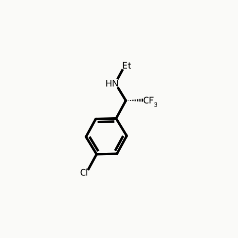 CCN[C@@H](c1ccc(Cl)cc1)C(F)(F)F